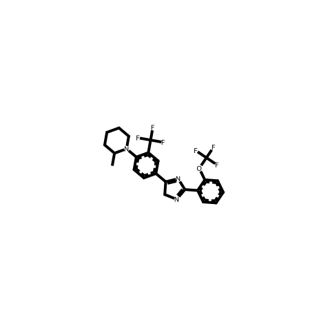 CC1CCCCN1c1ccc(C2=NC(c3ccccc3OC(F)(F)F)=NC2)cc1C(F)(F)F